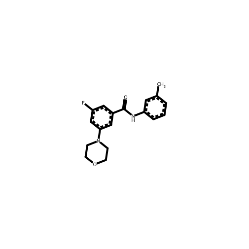 Cc1cccc(NC(=O)c2cc(F)cc(N3CCOCC3)c2)c1